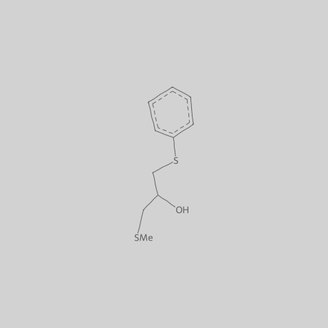 CSCC(O)CSc1ccccc1